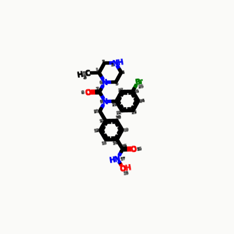 CC1CNCCN1C(=O)N(Cc1ccc(C(=O)NO)cc1)c1cccc(Br)c1